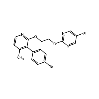 Cc1ncnc(OCCOc2ncc(Br)cn2)c1-c1ccc(Br)cc1